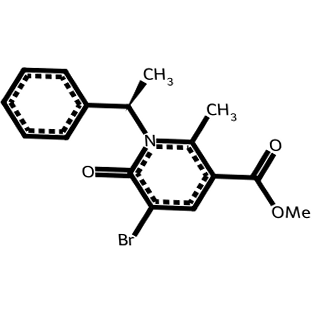 COC(=O)c1cc(Br)c(=O)n([C@H](C)c2ccccc2)c1C